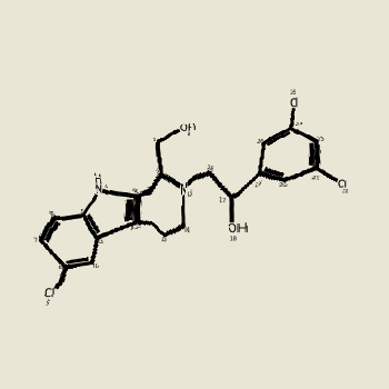 OCC1c2[nH]c3ccc(Cl)cc3c2CCN1CC(O)c1cc(Cl)cc(Cl)c1